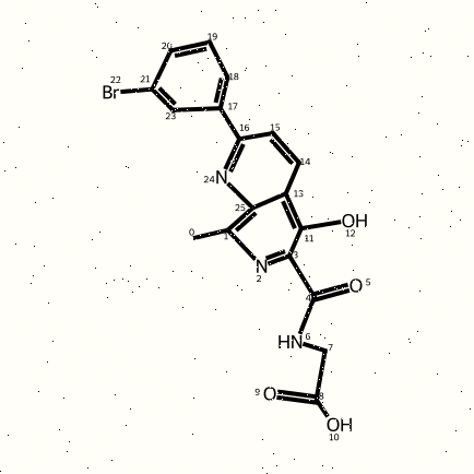 Cc1nc(C(=O)NCC(=O)O)c(O)c2ccc(-c3cccc(Br)c3)nc12